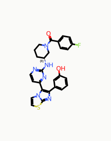 O=C(c1ccc(F)cc1)N1CCC[C@@H](Nc2nccc(-c3c(-c4cccc(O)c4)nc4sccn34)n2)C1